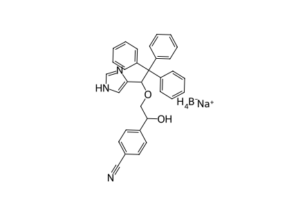 N#Cc1ccc(C(O)COC(c2c[nH]cn2)C(c2ccccc2)(c2ccccc2)c2ccccc2)cc1.[BH4-].[Na+]